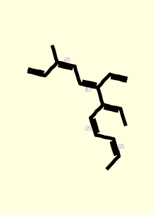 C=C/C(C)=C\C=C(/C=C)C(=CC)/C=C\C=C/C